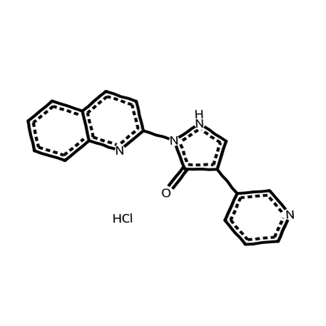 Cl.O=c1c(-c2cccnc2)c[nH]n1-c1ccc2ccccc2n1